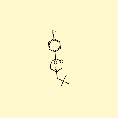 CC(C)(C)CC12COC(c3ccc(Br)cc3)(OC1)OC2